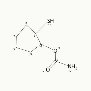 NC(=O)OC1CCCCC1S